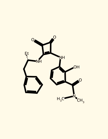 CC[C@@H](Cc1ccccc1)Nc1c(Nc2cccc(C(=O)N(C)C)c2O)c(=O)c1=O